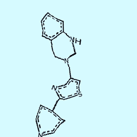 c1ccc2c(c1)CN(c1csc(-c3ccncc3)n1)CN2